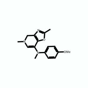 COc1ccc(N(C)C2=CN(C)Cc3nc(C)oc32)cc1